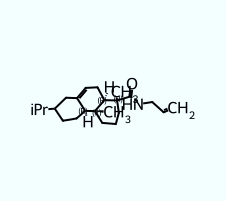 C=CCNC(=O)[C@]1(C)CCC[C@@]2(C)[C@H]1CC=C1CC(C(C)C)CC[C@@H]12